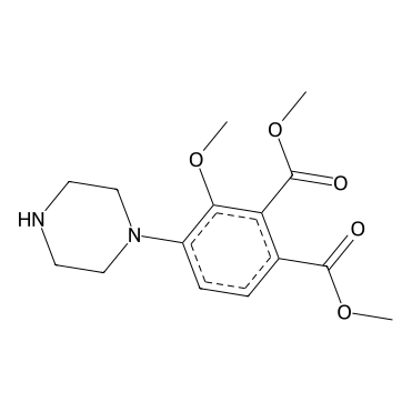 COC(=O)c1ccc(N2CCNCC2)c(OC)c1C(=O)OC